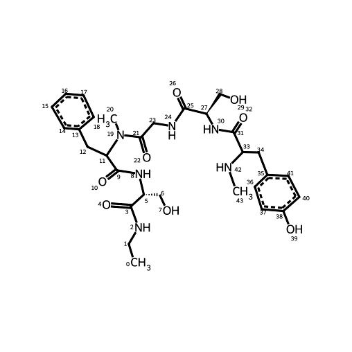 CCNC(=O)[C@@H](CO)NC(=O)C(Cc1ccccc1)N(C)C(=O)CNC(=O)[C@@H](CO)NC(=O)C(Cc1ccc(O)cc1)NC